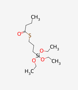 CCCC(=O)SCCC[Si](OCC)(OCC)OCC